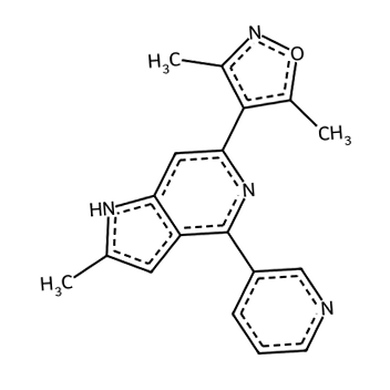 Cc1cc2c(-c3cccnc3)nc(-c3c(C)noc3C)cc2[nH]1